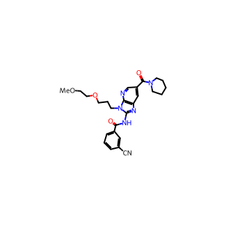 COCCOCCCn1c(NC(=O)c2cccc(C#N)c2)nc2cc(C(=O)N3CCCCC3)cnc21